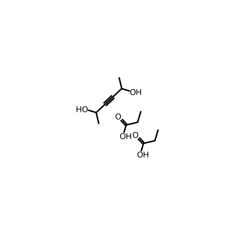 CC(O)C#CC(C)O.CCC(=O)O.CCC(=O)O